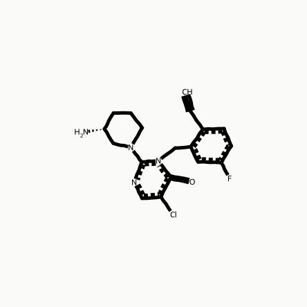 C#Cc1ccc(F)cc1Cn1c(N2CCC[C@@H](N)C2)ncc(Cl)c1=O